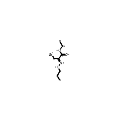 CCCON=C(CBr)C(=O)OCC